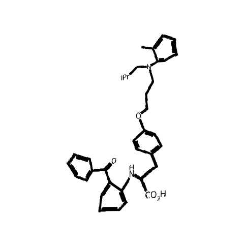 Cc1ccccc1N(CCCOc1ccc(CC(Nc2ccccc2C(=O)c2ccccc2)C(=O)O)cc1)CC(C)C